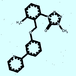 Cc1cccc(-n2nnn(C)c2=O)c1COc1cccc(-c2ccccn2)c1